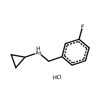 Cl.Fc1cccc(C[AsH]C2CC2)c1